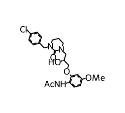 COc1ccc(NC(C)=O)c(OC[C@@H](O)CN2CCCN(Cc3ccc(Cl)cc3)C2=O)c1